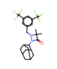 CC1(C)C(=O)N(C2C3CC4CC(C3)CC2C4)N1Cc1cc(C(F)(F)F)cc(C(F)(F)F)c1